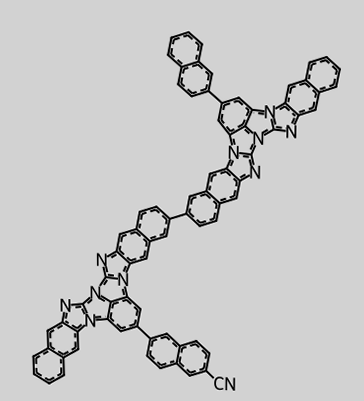 N#Cc1ccc2cc(-c3cc4c5c(c3)n3c6cc7cc(-c8ccc9cc%10nc%11n(c%10cc9c8)c8cc(-c9ccc%10ccccc%10c9)cc9c8n%11c8nc%10cc%11ccccc%11cc%10n98)ccc7cc6nc3n5c3nc5cc6ccccc6cc5n43)ccc2c1